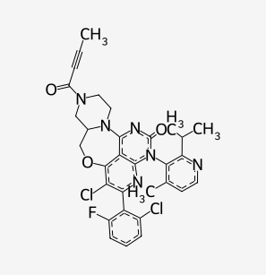 CC#CC(=O)N1CCN2c3nc(=O)n(-c4c(C)ccnc4C(C)C)c4nc(-c5c(F)cccc5Cl)c(Cl)c(c34)OCC2C1